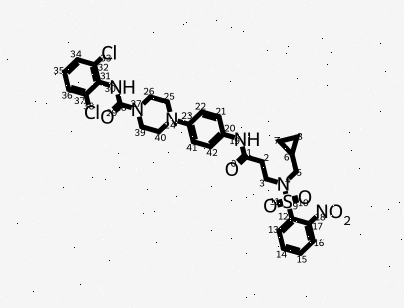 O=C(CCN(CC1CC1)S(=O)(=O)c1ccccc1[N+](=O)[O-])Nc1ccc(N2CCN(C(=O)Nc3c(Cl)cccc3Cl)CC2)cc1